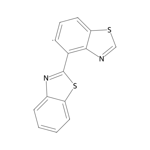 [c]1ccc2scnc2c1-c1nc2ccccc2s1